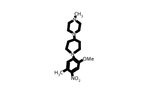 COc1cc([N+](=O)[O-])c(C)cc1N1CCC(N2CCN(C)CC2)CC1